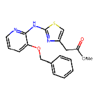 COC(=O)Cc1csc(Nc2ncccc2OCc2ccccc2)n1